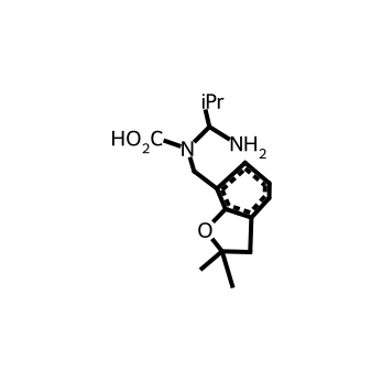 CC(C)C(N)N(Cc1cccc2c1OC(C)(C)C2)C(=O)O